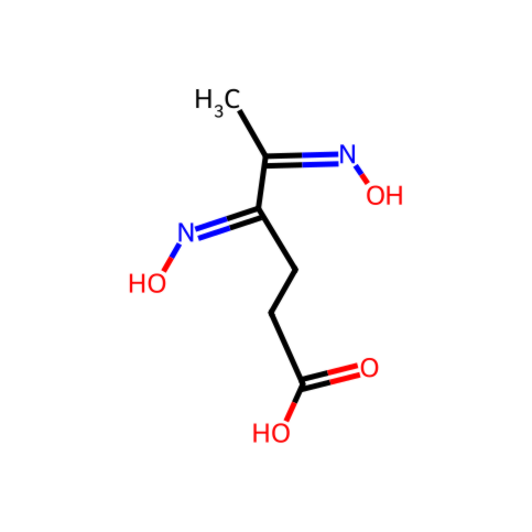 CC(=NO)C(CCC(=O)O)=NO